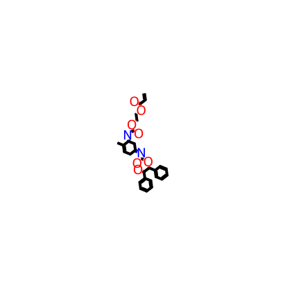 C=CC(=O)OCCOC(=O)N=C1CC(=NC(=O)OC(C(=O)c2ccccc2)c2ccccc2)CC=C1C